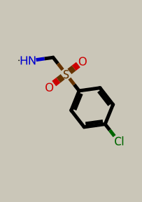 [NH]CS(=O)(=O)c1ccc(Cl)cc1